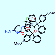 COc1ccc(C(OC([C@H]2O[C@@H](n3ccc(N)nc3=O)C(F)(F)[C@@H]2O)C(c2ccccc2)(c2ccccc2)c2ccc(OC)cc2)(c2ccccc2)c2ccccc2)cc1